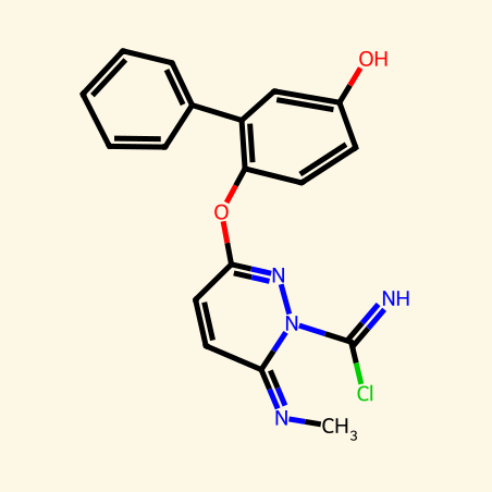 C/N=c1/ccc(Oc2ccc(O)cc2-c2ccccc2)nn1C(=N)Cl